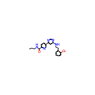 CCCNC(=O)c1ccc(-c2cc(NCCc3ccccc3OC)ncn2)cn1